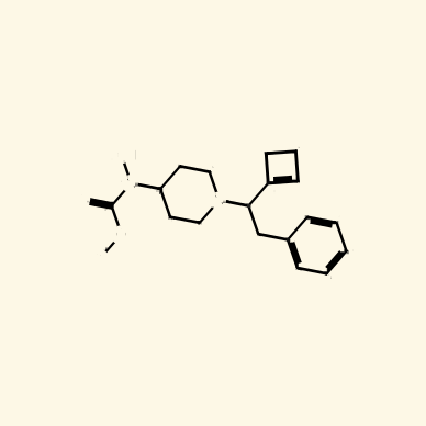 CCCOC(=O)N(C)C1CCN(C(Cc2ccccc2)C2=CCC2)CC1